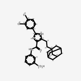 O=C(O)c1cccc(NC(=O)c2nc(-c3ccc(Cl)c(Cl)c3)[nH]c2CCC23CC4CC(CC(C4)C2)C3)c1